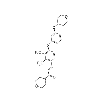 O=C(C=Cc1ccc(Sc2cccc(OC3CCOCC3)c2)c(C(F)(F)F)c1C(F)(F)F)N1CCOCC1